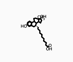 C[C@]12CCC3c4ccc(O)cc4C[C@@H](CCCCCCCCCCC(=O)O)C3C1CC[C@@H]2O